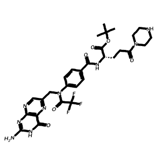 CC(C)(C)OC(=O)[C@H](CCC(=O)N1CCNCC1)NC(=O)c1ccc(N(Cc2cnc3nc(N)[nH]c(=O)c3n2)C(=O)C(F)(F)F)cc1